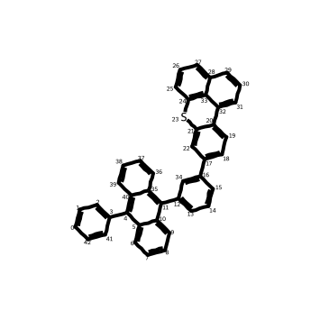 c1ccc(-c2c3ccccc3c(-c3cccc(-c4ccc5c(c4)Sc4cccc6cccc-5c46)c3)c3ccccc23)cc1